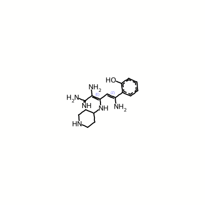 N=C(N)/C(N)=C(/C=C(\N)c1ccccc1O)NC1CCNCC1